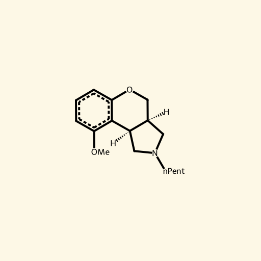 [CH2]CCCCN1C[C@@H]2COc3cccc(OC)c3[C@@H]2C1